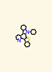 c1ccc(-n2c3ccccc3c3c4cccnc4c4c5ccccc5sc4c32)cc1